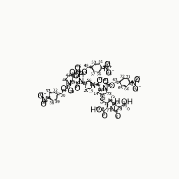 C[C@@H](O)[C@H]1C(=O)N2C(C(=O)O)=C(S[C@H]3C[C@@H](C(=O)N4CC[C@H](NC(=O)[C@H]5N(C(=O)OCc6ccc([N+](=O)[O-])cc6)CCC5(O)OC(=O)OCc5ccc([N+](=O)[O-])cc5)C4)N(C(=O)OCc4ccc([N+](=O)[O-])cc4)C3)[C@H](C)[C@@H]12